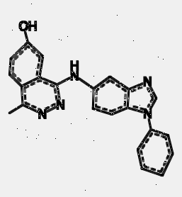 Cc1nnc(Nc2ccc3c(c2)ncn3-c2ccccc2)c2cc(O)ccc12